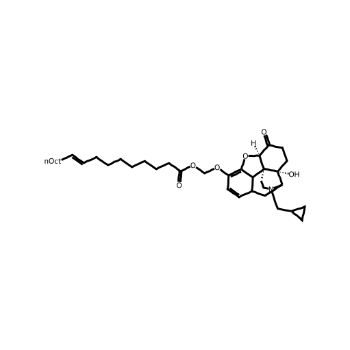 CCCCCCCC/C=C/CCCCCCCC(=O)OCOC1=C2O[C@H]3C(=O)CC[C@@]4(O)C5CC(C=C1)C2[C@@]34CCN5CC1CC1